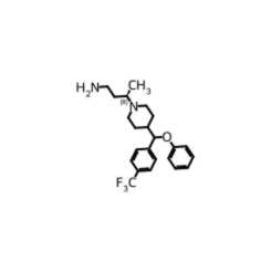 C[C@H](CCN)N1CCC(C(Oc2ccccc2)c2ccc(C(F)(F)F)cc2)CC1